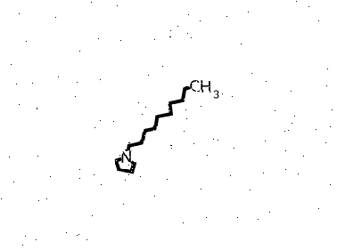 CCCCCCCCCCN1CCCC1